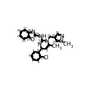 CC1=CC(c2ccccc2Cl)N=C(Nc2nc3ccccc3o2)N1Cc1cnn(C)c1